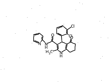 CC1=C(C(=O)Nc2ccccn2)C(c2cccc(Cl)c2Cl)C2=C(CCCC2=O)N1